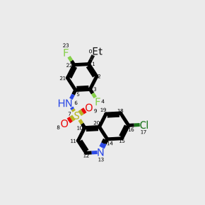 CCc1cc(F)c(NS(=O)(=O)c2ccnc3cc(Cl)ccc23)cc1F